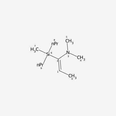 CC=C(N(C)C)[Si](C)(CCC)CCC